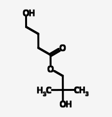 CC(C)(O)COC(=O)CCCO